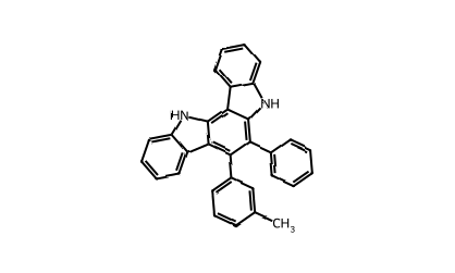 Cc1cccc(-c2c(-c3ccccc3)c3[nH]c4ccccc4c3c3[nH]c4ccccc4c23)c1